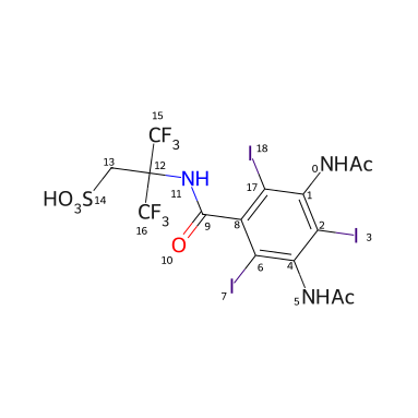 CC(=O)Nc1c(I)c(NC(C)=O)c(I)c(C(=O)NC(CS(=O)(=O)O)(C(F)(F)F)C(F)(F)F)c1I